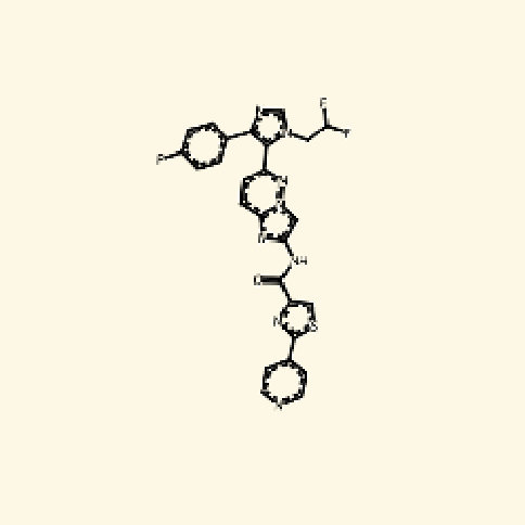 O=C(Nc1cn2nc(-c3c(-c4ccc(F)cc4)ncn3CC(F)F)ccc2n1)c1csc(-c2ccncc2)n1